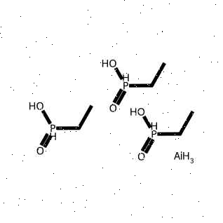 CC[PH](=O)O.CC[PH](=O)O.CC[PH](=O)O.[AlH3]